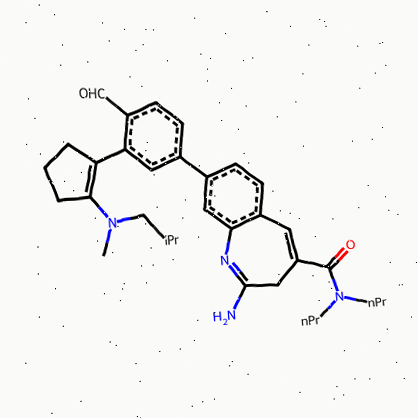 CCCN(CCC)C(=O)C1=Cc2ccc(-c3ccc(C=O)c(C4=C(N(C)CC(C)C)CCC4)c3)cc2N=C(N)C1